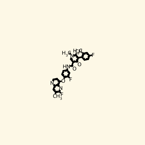 Cc1cc(F)ccc1-c1c(C)n(C)cc(C(=O)Nc2ccc(Oc3ccnc4cc(C)c(F)nc34)c(F)c2)c1=O